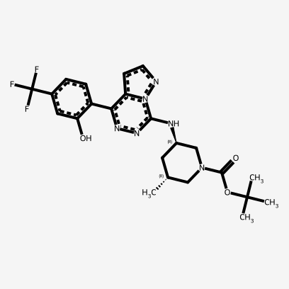 C[C@@H]1C[C@@H](Nc2nnc(-c3ccc(C(F)(F)F)cc3O)c3ccnn23)CN(C(=O)OC(C)(C)C)C1